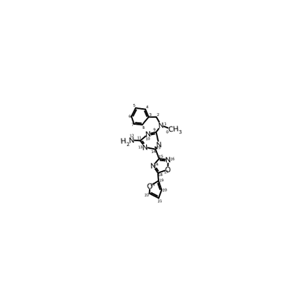 CN(Cc1ccccc1)c1nc(N)nc(-c2noc(-c3ccco3)n2)n1